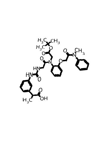 CC(C(=O)O)c1cccc(NC(=O)NCC(=O)N(CC(=O)OC(C)(C)C)c2ccccc2OCC(=O)N(C)c2ccccc2)c1